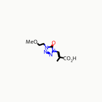 COCCn1nnn(C=C(C)C(=O)O)c1=O